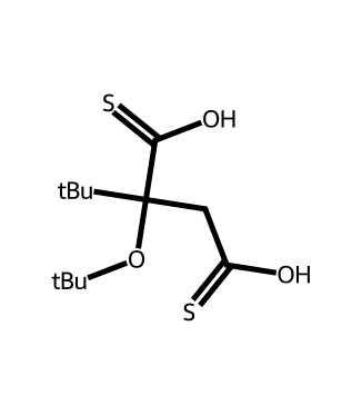 CC(C)(C)OC(CC(O)=S)(C(O)=S)C(C)(C)C